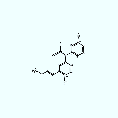 CCC=Cc1cc(C(C(N)=O)c2cccc(Br)c2)ccc1O